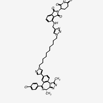 Cc1nnc2n1-c1ccc(-c3cnn(CCCCCCCCCCn4cc(CNc5cccc6c5C(=O)N(C5CCC(=O)NC5=O)C6=O)nn4)c3)cc1C(c1ccc(Cl)cc1)=N[C@H]2C